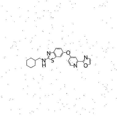 c1cc(Oc2ccc3nc(NCC4CCCCC4)sc3c2)cc(-c2ncco2)n1